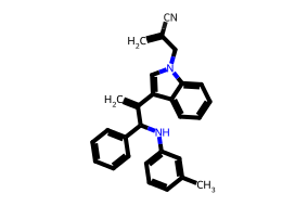 C=C(C#N)Cn1cc(C(=C)C(Nc2cccc(C)c2)c2ccccc2)c2ccccc21